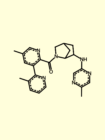 Cc1cnc(C(=O)N2CC3CC(Nc4cnc(C)cn4)C2C3)c(-c2ncccc2C)c1